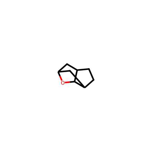 C1CC2CC3CC1C2O3